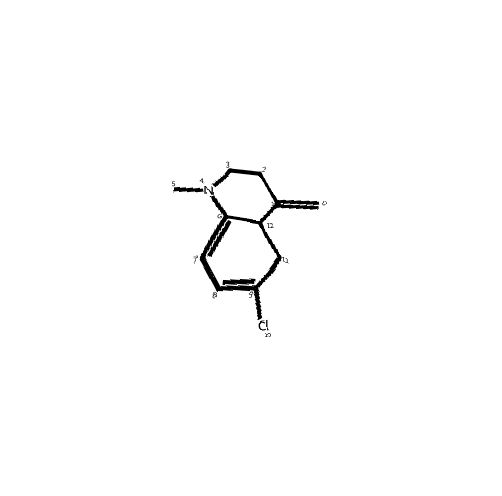 C=C1CCN(C)C2=CC=C(Cl)CC12